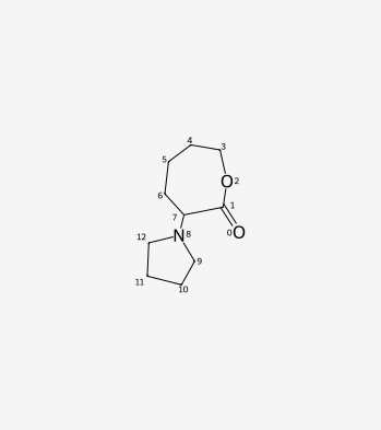 O=C1OCCCCC1N1CCCC1